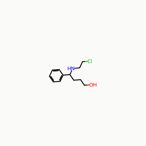 OCCCC(NCCCl)c1ccccc1